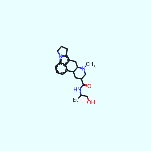 CCC(CO)NC(=O)C1CC2c3cccc4c3c(c3n4CCC3)CC2N(C)C1